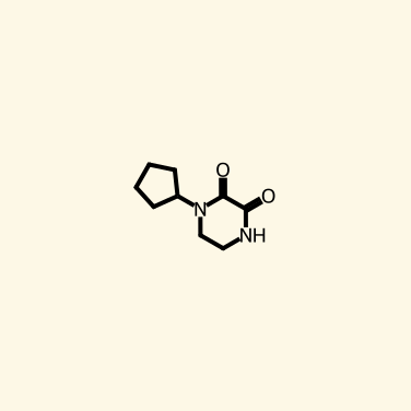 O=C1NCCN(C2CCCC2)C1=O